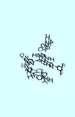 COCc1cn2c(Nc3cc([C@H]4CC[C@@H](OC(=O)NC(C)C)[C@H]4F)[nH]n3)nc(C3CC3[n+]3[nH]c([C@@H]4CC[C@H](OC(=O)NC5(C)CC5)[C@H]4F)cc3Nc3nccn4nc(-c5cc(F)cc(F)c5)cc34)cc2n1